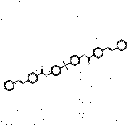 CC(C)(c1ccc(OC(=O)c2ccc(/N=N/c3ccccc3)cc2)cc1)c1ccc(OC(=O)c2ccc(/N=N/c3ccccc3)cc2)cc1